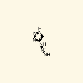 N=[N+]=N.c1c[nH]nn1